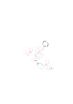 COC(=O)C[C@H](NC(=O)OCc1ccccc1)NC(=O)[C@@H]1CCCN(C(=O)OC(C)(C)C)C1